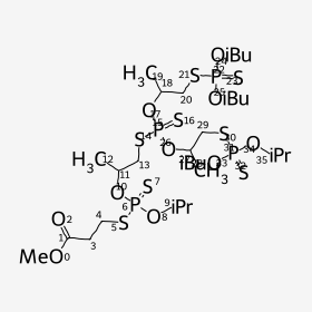 COC(=O)CCSP(=S)(OC(C)C)OC(C)CSP(=S)(OC(C)CSP(=S)(OCC(C)C)OCC(C)C)OC(C)CSP(=S)(OCC(C)C)OC(C)C